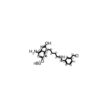 CCCCOc1nc(N)c2nc(O)n(CCCCNSc3cccc(CCl)c3)c2n1